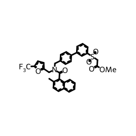 COC(=O)CS(=O)(=O)c1cccc(-c2ccc(CN(Cc3ccc(C(F)(F)F)o3)C(=O)c3c(C)ccc4ccccc34)cc2)c1